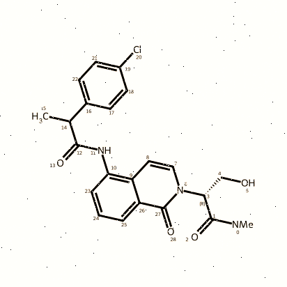 CNC(=O)[C@@H](CO)n1ccc2c(NC(=O)C(C)c3ccc(Cl)cc3)cccc2c1=O